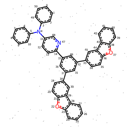 c1ccc(N(c2ccccc2)c2ccc(-c3cc(-c4ccc5oc6ccccc6c5c4)cc(-c4ccc5oc6ccccc6c5c4)c3)nc2)cc1